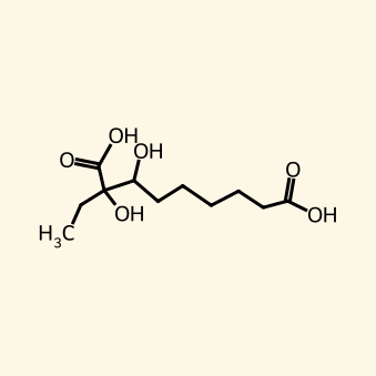 CCC(O)(C(=O)O)C(O)CCCCCC(=O)O